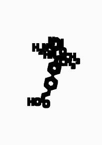 CC1(C)Oc2ncnc(N)c2NC1c1ccc([C@H]2CC[C@H](CCC(=O)O)CC2)cc1